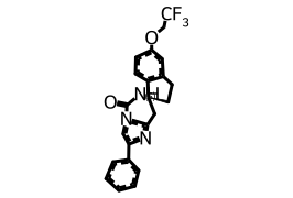 O=C1N[C@@]2(CCc3cc(OCC(F)(F)F)ccc32)Cc2nc(-c3ccccc3)cn21